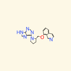 c1cc(OC[C@H]2CCCN2c2ncnc3[nH]cnc23)c2cnccc2c1